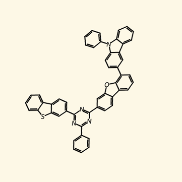 c1ccc(-c2nc(-c3ccc4c(c3)oc3c(-c5ccc6c(c5)c5ccccc5n6-c5ccccc5)cccc34)nc(-c3ccc4c(c3)sc3ccccc34)n2)cc1